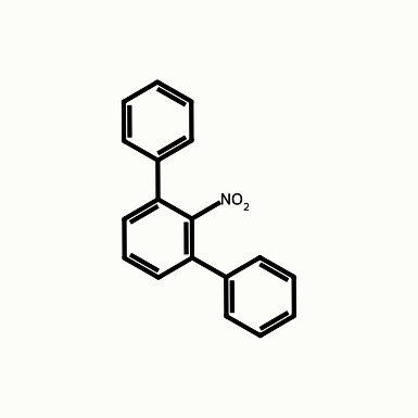 O=[N+]([O-])c1c(-c2ccccc2)cccc1-c1ccccc1